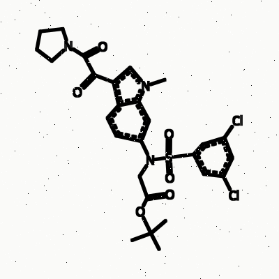 Cn1cc(C(=O)C(=O)N2CCCC2)c2ccc(N(CC(=O)OC(C)(C)C)S(=O)(=O)c3cc(Cl)cc(Cl)c3)cc21